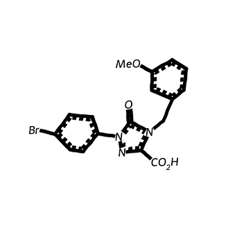 COc1cccc(Cn2c(C(=O)O)nn(-c3ccc(Br)cc3)c2=O)c1